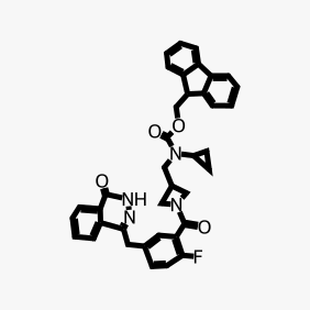 O=C(c1cc(Cc2n[nH]c(=O)c3ccccc23)ccc1F)N1CC(CN(C(=O)OCC2c3ccccc3-c3ccccc32)C2CC2)C1